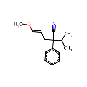 CO/C=C/CC(C#N)(c1ccccc1)C(C)C